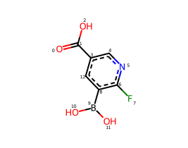 O=C(O)c1cnc(F)c(B(O)O)c1